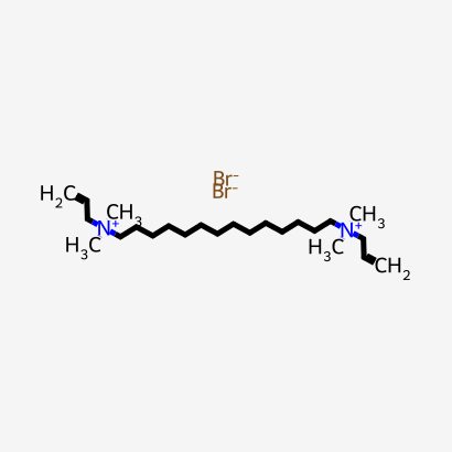 C=CC[N+](C)(C)CCCCCCCCCCCCCC[N+](C)(C)CC=C.[Br-].[Br-]